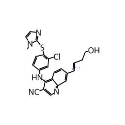 Cn1ccnc1Sc1ccc(Nc2c(C#N)cnc3cc(/C=C/CCO)ccc23)cc1Cl